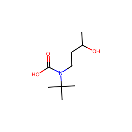 CC(O)CCN(C(=O)O)C(C)(C)C